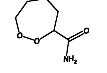 NC(=O)C1CCCCOO1